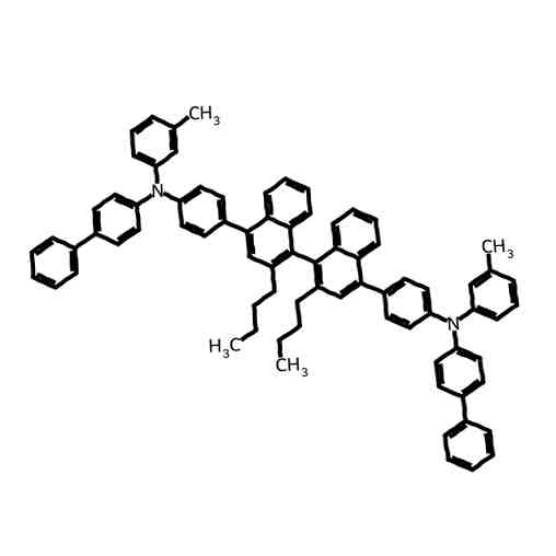 CCCCc1cc(-c2ccc(N(c3ccc(-c4ccccc4)cc3)c3cccc(C)c3)cc2)c2ccccc2c1-c1c(CCCC)cc(-c2ccc(N(c3ccc(-c4ccccc4)cc3)c3cccc(C)c3)cc2)c2ccccc12